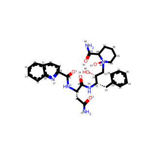 NC(=O)C[C@H](NC(=O)c1ccc2ccccc2n1)C(=O)N[C@@H](Cc1ccccc1)[C@H](O)C[N+]1([O-])CCCCC1C(N)=O